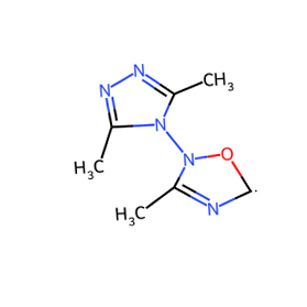 CC1=N[CH]ON1n1c(C)nnc1C